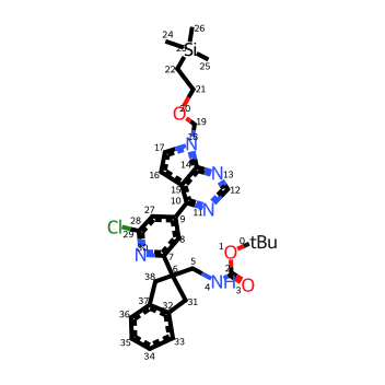 CC(C)(C)OC(=O)NCC1(c2cc(-c3ncnc4c3ccn4COCC[Si](C)(C)C)cc(Cl)n2)Cc2ccccc2C1